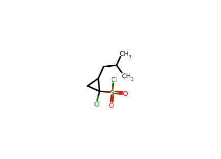 CC(C)CC1CC1(Cl)S(=O)(=O)Cl